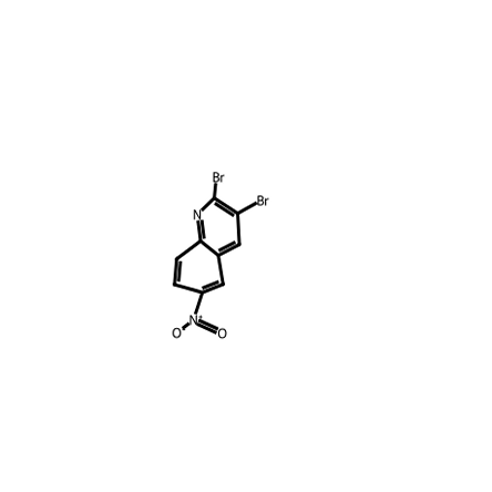 O=[N+]([O-])c1ccc2nc(Br)c(Br)cc2c1